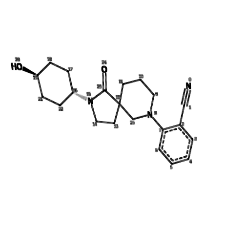 N#Cc1ccccc1N1CCCC2(CCN([C@H]3CC[C@H](O)CC3)C2=O)C1